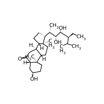 CC[C@@H](C(C)C)[C@@H](O)[C@H](O)[C@@H](C)[C@H]1CC[C@H]2[C@@H]3CC(=O)[C@H]4C[C@H](O)CC[C@]4(C)[C@H]3CC[C@]12C